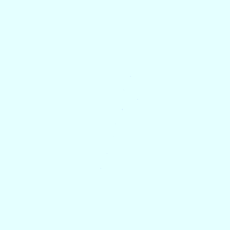 OCCC(F)(F)C(F)(F)C(F)(F)C(F)(F)C(F)(F)C(F)(F)C(F)(F)C(F)F